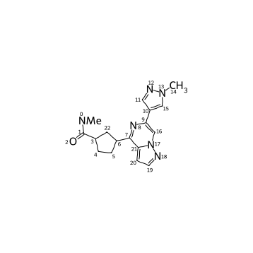 CNC(=O)C1CCC(c2nc(-c3cnn(C)c3)cn3nccc23)C1